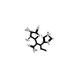 [2H][C@@H]1C(C(C(=O)O)C(CC)c2c[nH]cn2)SC(=O)[C@@H]1O